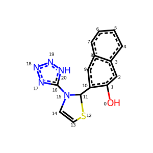 Oc1cc2ccccc2cc1C1SC=CN1c1nnn[nH]1